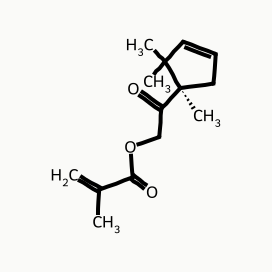 C=C(C)C(=O)OCC(=O)[C@]1(C)CC=CC1(C)C